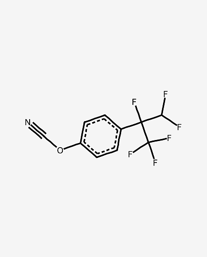 N#COc1ccc(C(F)(C(F)F)C(F)(F)F)cc1